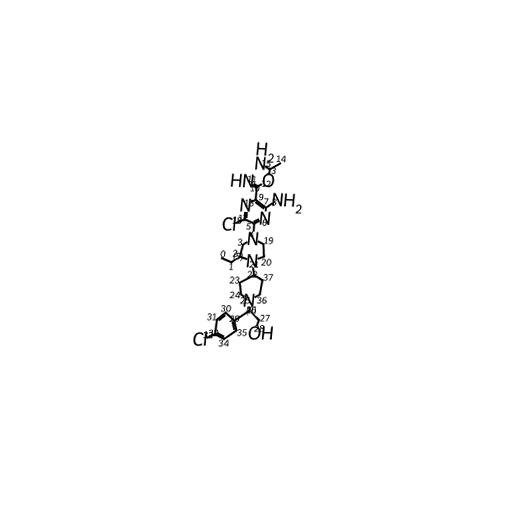 CC[C@H]1CN(c2nc(N)c(C(=N)OC(C)N)nc2Cl)CCN1C1CCN([C@@H](CO)c2ccc(Cl)cc2)CC1